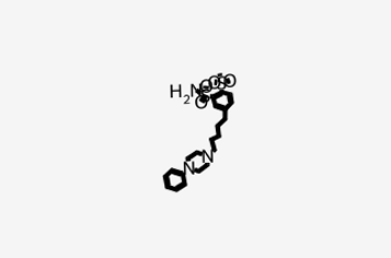 CS(=O)(=O)c1ccc(CCCCCN2CCN(c3ccccc3)CC2)cc1S(N)(=O)=O